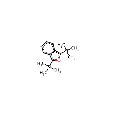 C[Si](C)(C)c1oc([Si](C)(C)C)c2c[c][c]cc12